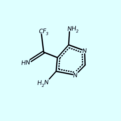 N=C(c1c(N)ncnc1N)C(F)(F)F